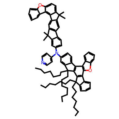 CCCCCCCC1(CCCCCCC)c2ccccc2-c2c1c1c(c3c2oc2ccccc23)-c2ccc(N(c3ccncc3)c3ccc4c(c3)C(C)(C)c3cc5c(cc3-4)C(C)(C)c3ccc4oc6ccccc6c4c3-5)cc2C1(CCCCCCC)CCCCCCC